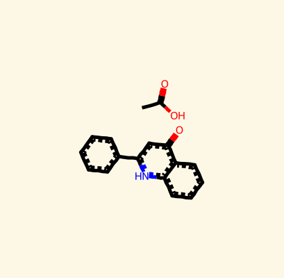 CC(=O)O.O=c1cc(-c2ccccc2)[nH]c2ccccc12